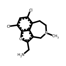 CN1CCc2c(Cl)cc(Cl)c3oc(CN)c(c23)C1